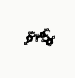 CCN1C[C@H](NC(=O)c2cc([N+](=O)[O-])c(Sc3c(Cl)cncc3Cl)s2)[C@H](OC)C1